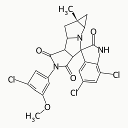 COc1cc(Cl)cc(N2C(=O)C3C4C[C@]5(C)CC5N4C4(C(=O)Nc5c(Cl)cc(Cl)cc54)C3C2=O)c1